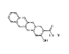 O=C(NO)c1cc2cc3cc4ccccc4cc3cc2cc1O